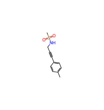 Cc1ccc(C#CCNS(C)(=O)=O)cc1